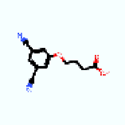 N#Cc1cc(C#N)cc(OCCCC(=O)O)c1